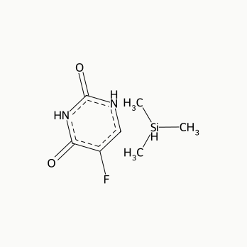 C[SiH](C)C.O=c1[nH]cc(F)c(=O)[nH]1